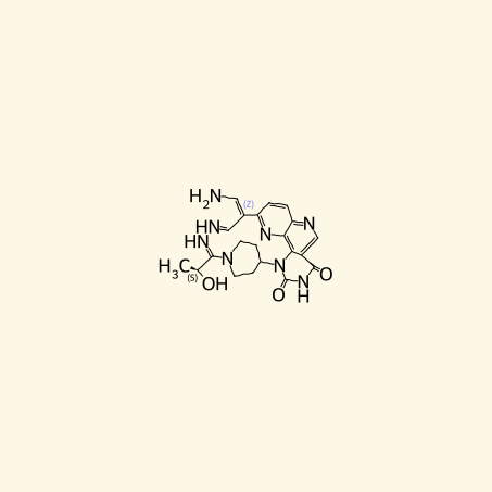 C[C@H](O)C(=N)N1CCC(n2c(=O)[nH]c(=O)c3cnc4ccc(/C(C=N)=C/N)nc4c32)CC1